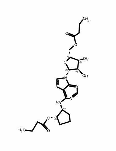 CCCC(=O)OC[C@H]1O[C@@H](n2cnc3c(N[C@H]4CCC[C@@H]4OC(=O)CCC)ncnc32)[C@H](O)[C@@H]1O